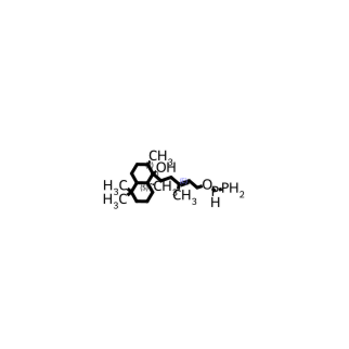 C/C(=C\COPP)CC[C@@]1(O)[C@H](C)CCC2C(C)(C)CCC[C@@]21C